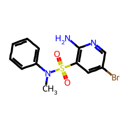 CN(c1ccccc1)S(=O)(=O)c1cc(Br)cnc1N